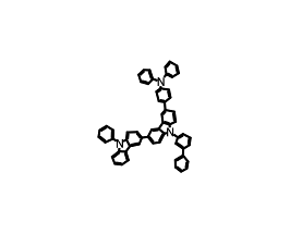 c1ccc(-c2cccc(-n3c4ccc(-c5ccc(N(c6ccccc6)c6ccccc6)cc5)cc4c4cc(-c5ccc6c(c5)c5ccccc5n6-c5ccccc5)ccc43)c2)cc1